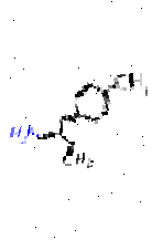 C=CC(=C/N)/C=C1/C=CC(C)=CC1